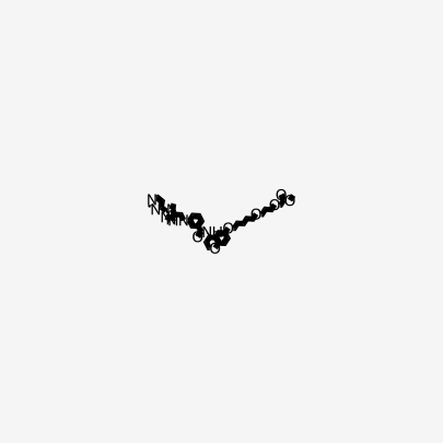 COC(=O)COCCCOCCCCCOc1ccc2c(c1)[C@@H](NC(=O)c1cccc(NCc3nnc(-c4ccncn4)n3C)c1)CCO2